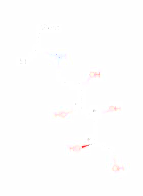 CCCCCC(CC)NC[C@H](O)[C@@H](O)[C@H](O)[C@H](O)CO